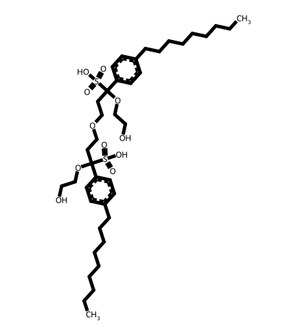 CCCCCCCCCc1ccc(C(CCOCCC(OCCO)(c2ccc(CCCCCCCCC)cc2)S(=O)(=O)O)(OCCO)S(=O)(=O)O)cc1